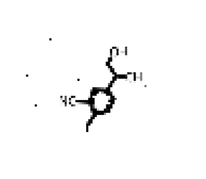 C[C](CO)c1ccc(I)c(C#N)c1